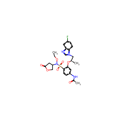 CCON(C1COC(=O)C1)S(=O)(=O)c1ccc(NC(C)=O)cc1O[C@H](C)Cn1cnc2cc(F)ccc21